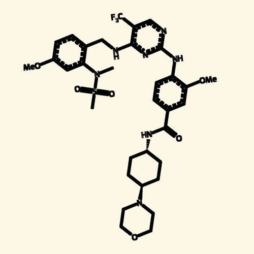 COc1ccc(CNc2nc(Nc3ccc(C(=O)N[C@H]4CC[C@H](N5CCOCC5)CC4)cc3OC)ncc2C(F)(F)F)c(N(C)S(C)(=O)=O)c1